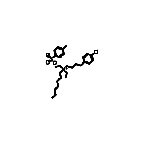 CCCCCCC[N+](CC)(CC)CCCCc1ccc(Cl)cc1.Cc1ccc(S(=O)(=O)[O-])cc1